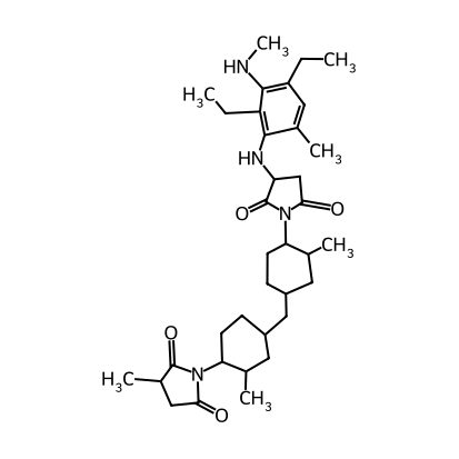 CCc1cc(C)c(NC2CC(=O)N(C3CCC(CC4CCC(N5C(=O)CC(C)C5=O)C(C)C4)CC3C)C2=O)c(CC)c1NC